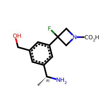 C[C@@H](N)c1cc(CO)cc(C2(F)CN(C(=O)O)C2)c1